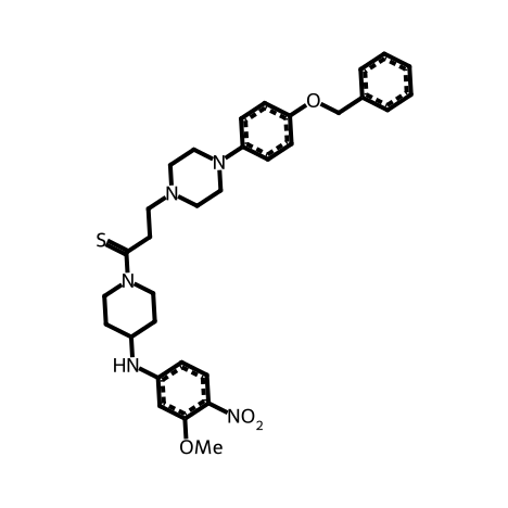 COc1cc(NC2CCN(C(=S)CCN3CCN(c4ccc(OCc5ccccc5)cc4)CC3)CC2)ccc1[N+](=O)[O-]